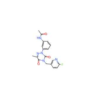 CC(=O)Nc1cccc(-n2nc(C)c(=O)n(Cc3ccc(F)nc3)c2=O)c1